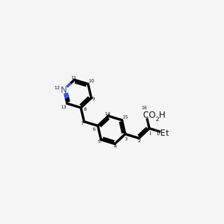 CC/C(=C/c1ccc(Cc2cccnc2)cc1)C(=O)O